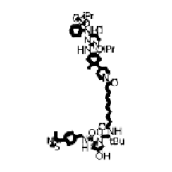 Cc1cc(Nc2ncc(Cl)c(Nc3ccccc3S(=O)(=O)C(C)C)n2)c(OC(C)C)cc1C1CCN(C(=O)CCCCCCCCC(=O)NC(C(=O)N2C[C@H](O)C[C@H]2C(=O)NCc2ccc(-c3scnc3C)cc2)C(C)(C)C)CC1